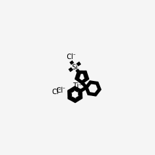 C[Si](C)(C)C1=C[C]([Ti+3])(C2(c3ccccc3)CCCCC2)C=C1.[Cl-].[Cl-].[Cl-]